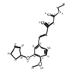 CCOC(=O)CC(=O)/C=C/c1ccc(OC)c(OC2CCCC2)c1